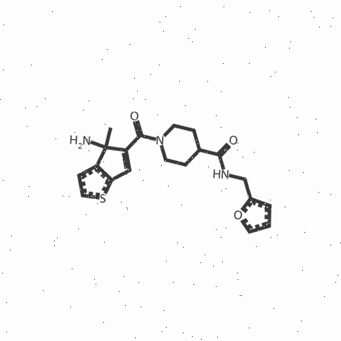 CC1(N)C(C(=O)N2CCC(C(=O)NCc3ccco3)CC2)=Cc2sccc21